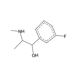 CNC(C)C(O)c1cccc(F)c1